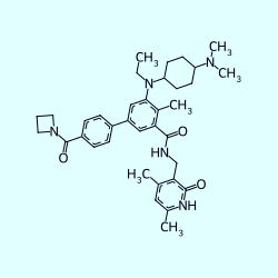 CCN(c1cc(-c2ccc(C(=O)N3CCC3)cc2)cc(C(=O)NCc2c(C)cc(C)[nH]c2=O)c1C)C1CCC(N(C)C)CC1